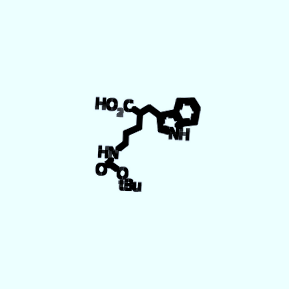 CC(C)(C)OC(=O)NCCCC(Cc1c[nH]c2ccccc12)C(=O)O